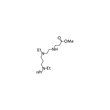 CCCN(CC)CCCN(CC)CCNCCC(=O)OC